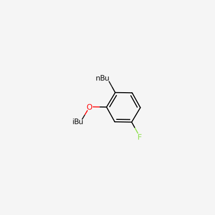 CCCCc1ccc(F)cc1OC(C)CC